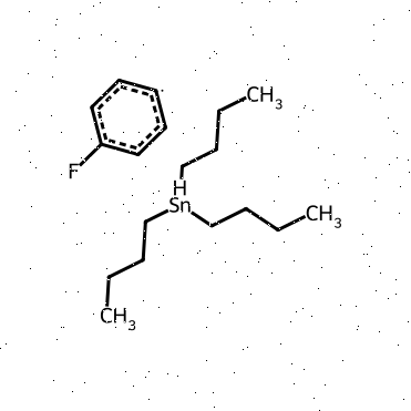 CCC[CH2][SnH]([CH2]CCC)[CH2]CCC.Fc1cc[c]cc1